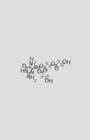 Nc1nc2c(c(=O)[nH]1)NCN2C(OCCCOC(=O)CCO)OC(=O)CCO